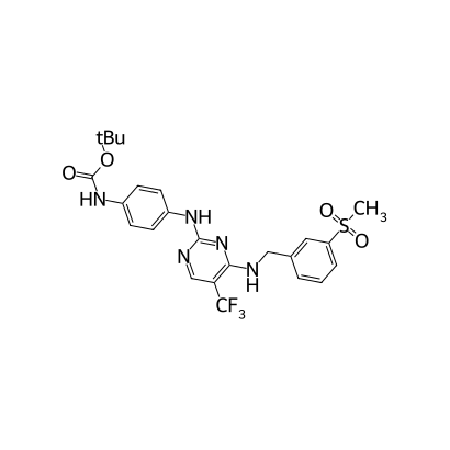 CC(C)(C)OC(=O)Nc1ccc(Nc2ncc(C(F)(F)F)c(NCc3cccc(S(C)(=O)=O)c3)n2)cc1